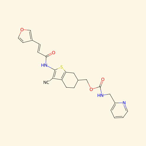 N#Cc1c(NC(=O)C=Cc2ccoc2)sc2c1CCC(COC(=O)NCc1ccccn1)C2